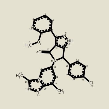 COc1ncccc1-c1n[nH]c2c1C(=O)N(c1cc(C)c3nnc(C)n3c1)C2c1ccc(Cl)cc1